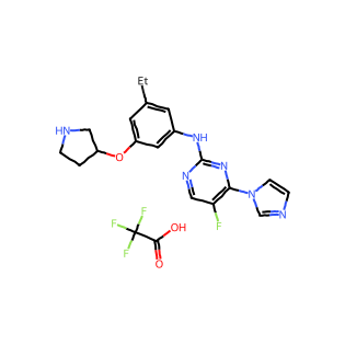 CCc1cc(Nc2ncc(F)c(-n3ccnc3)n2)cc(OC2CCNC2)c1.O=C(O)C(F)(F)F